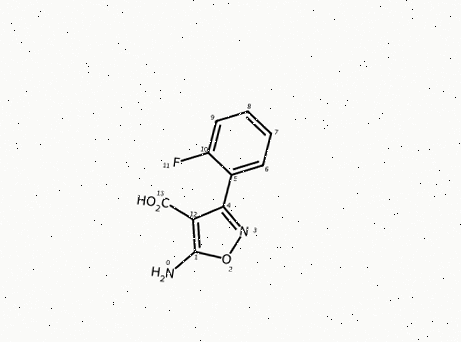 Nc1onc(-c2ccccc2F)c1C(=O)O